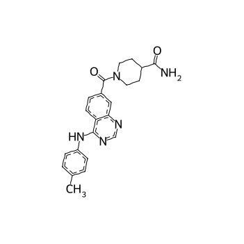 Cc1ccc(Nc2ncnc3cc(C(=O)N4CCC(C(N)=O)CC4)ccc23)cc1